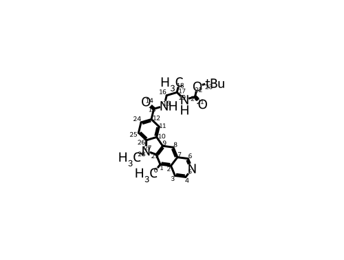 Cc1c2ccncc2cc2c3cc(C(=O)NCC(C)NC(=O)OC(C)(C)C)ccc3n(C)c12